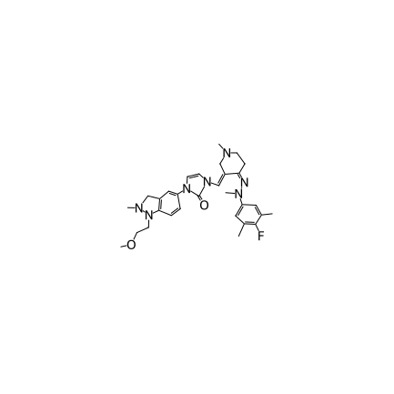 COCCN1c2ccc(-n3ccn(/C=C4\CN(C)CC\C4=N\N(C)c4cc(C)c(F)c(C)c4)c3=O)cc2CN1C